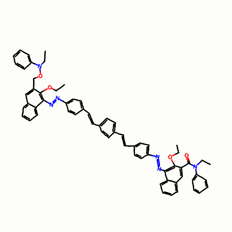 CCOc1c(CON(CC)c2ccccc2)cc2ccccc2c1N=Nc1ccc(C=Cc2ccc(C=Cc3ccc(N=Nc4c(OCC)c(C(=O)N(CC)c5ccccc5)cc5ccccc45)cc3)cc2)cc1